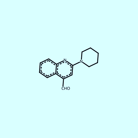 O=Cc1cc(N2CCCCC2)nc2ccccc12